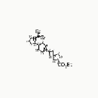 CCOC(=O)N1CCC2(CC(N3CCC(C4CCCN4C(=O)CC)CC3)C2)C1